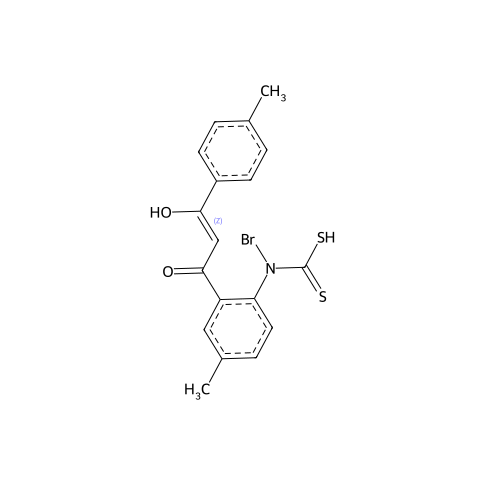 Cc1ccc(/C(O)=C/C(=O)c2cc(C)ccc2N(Br)C(=S)S)cc1